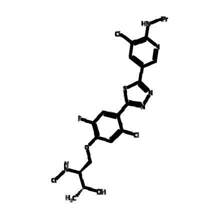 CC(C)Nc1ncc(-c2nnc(-c3cc(F)c(OC[C@H](NCl)[C@@H](C)O)cc3Cl)s2)cc1Cl